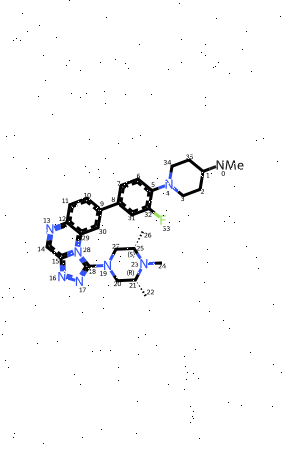 CNC1CCN(c2ccc(-c3ccc4ncc5nnc(N6C[C@@H](C)N(C)[C@@H](C)C6)n5c4c3)cc2F)CC1